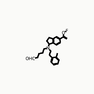 C=C(OF)c1ccc2c(c1)CCC2N(CCCCC=O)CCc1ccccc1C